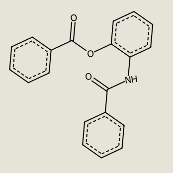 O=C(Nc1ccccc1OC(=O)c1ccccc1)c1ccccc1